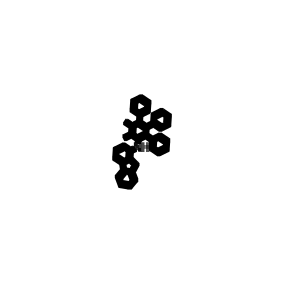 Cc1c(C)c(-c2ccccc2)c(-c2ccccc2)c(-c2ccccc2)c1Nc1cccc2c1Cc1ccccc1-2